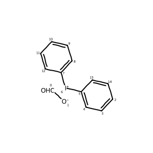 O=C[O-].c1ccc([I+]c2ccccc2)cc1